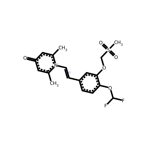 Cc1cc(=O)cc(C)n1/C=C/c1ccc(OC(F)F)c(OCS(C)(=O)=O)c1